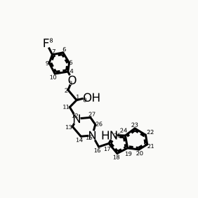 OC(COc1ccc(F)cc1)CN1CCN(Cc2cc3ccccc3[nH]2)CC1